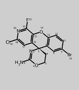 NC1=N[C@@]2(CCO1)c1cc(Br)ccc1Oc1c2cc(Cl)nc1F